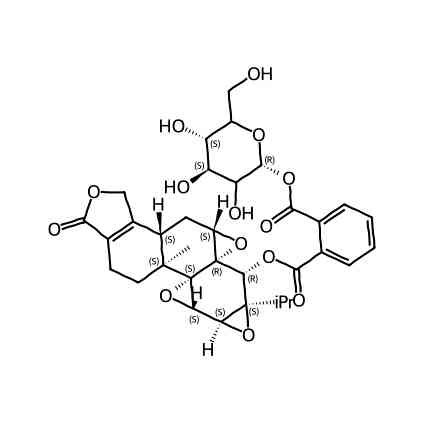 CC(C)[C@]12O[C@H]1[C@@H]1O[C@]13[C@]1(O[C@H]1C[C@H]1C4=C(CC[C@@]13C)C(=O)OC4)[C@@H]2OC(=O)c1ccccc1C(=O)O[C@H]1OC(CO)[C@@H](O)[C@H](O)C1O